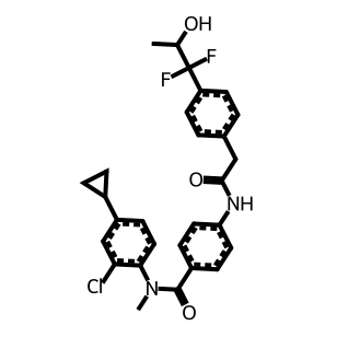 CC(O)C(F)(F)c1ccc(CC(=O)Nc2ccc(C(=O)N(C)c3ccc(C4CC4)cc3Cl)cc2)cc1